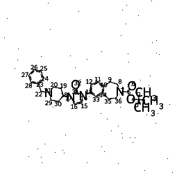 CC(C)(C)OC(=O)N1CCc2ccc(-n3ccn(C4CCN(Cc5ccccc5)CC4)c3=O)cc2CC1